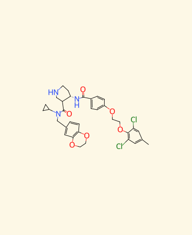 Cc1cc(Cl)c(OCCOc2ccc(C(=O)N[C@H]3CCNCC3C(=O)N(Cc3ccc4c(c3)OCCO4)C3CC3)cc2)c(Cl)c1